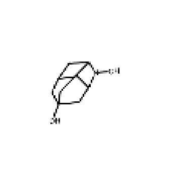 ON1C2CC3CC1CC(O)(C3)C2